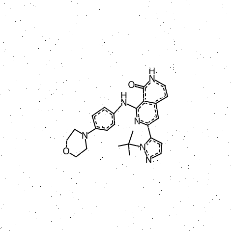 CC(C)(C)n1nccc1-c1cc2cc[nH]c(=O)c2c(Nc2ccc(N3CCOCC3)cc2)n1